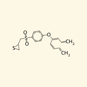 C=C/C=C\C(=C/C=C)Oc1ccc(S(=O)(=O)CC2CS2)cc1